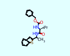 CC(NC(=O)[C@@H](NC(=O)OCc1ccccc1)C(C)C)c1cc2ccccc2s1